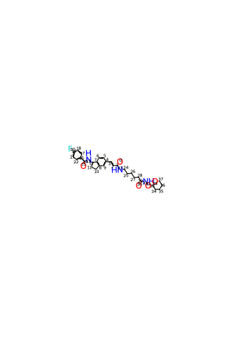 O=C(C=Cc1ccc2c(c1)CCC2NC(=O)c1ccc(F)cc1)NCCCCCC(=O)NOC1CCCCO1